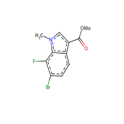 COC(=O)c1cn(C)c2c(F)c(Br)ccc12